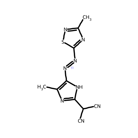 Cc1nsc(/N=N/c2[nH]c(C(C#N)C#N)nc2C)n1